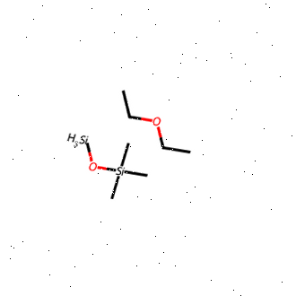 CCOCC.C[Si](C)(C)O[SiH3]